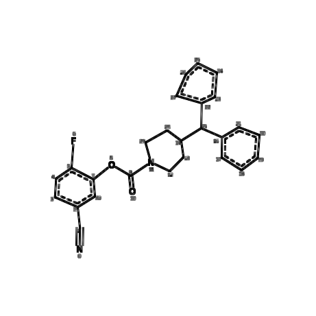 N#Cc1ccc(F)c(OC(=O)N2CCC(C(c3ccccc3)c3ccccc3)CC2)c1